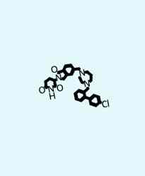 O=C1CCC(N2Cc3cc(CN4CCCN(Cc5ccccc5-c5ccc(Cl)cc5)CC4)ccc3C2=O)C(=O)N1